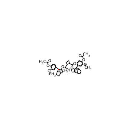 COc1cc(C[N+]2(C)C3CCC2CC(OC(=O)C2CCC2C(=O)O[C@H]2CC4CCC(C2)[N@@+]4(C)Cc2ccc(OC(C)=O)c(OC)c2)C3)ccc1OC(C)=O